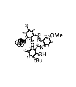 CC(=O)[O-].CC(=O)[O-].COc1ccc(N=Cc2cc(C)cc(C(C)(C)C)c2O)c(N=Cc2cc(C)cc(C(C)(C)C)c2O)c1.[Co+2]